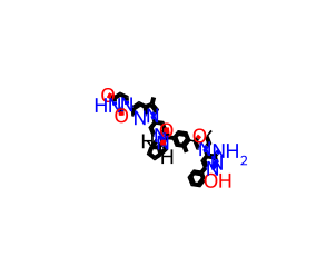 Cc1cc(C(=O)N2C[C@H]3CC[C@@H](C2)C3CN2CCC(n3cc(C)c4cc(N5CCC(=O)NC5=O)cnc43)CC2)ccc1[C@@H]1CN(c2cc(-c3ccccc3O)nnc2N)C[C@H](C)O1